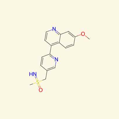 COc1ccc2c(-c3ccc(CS(C)(=N)=O)cn3)ccnc2c1